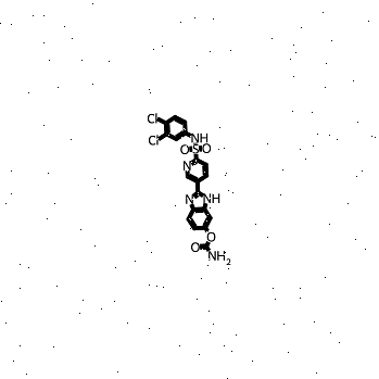 NC(=O)Oc1ccc2nc(-c3ccc(S(=O)(=O)Nc4ccc(Cl)c(Cl)c4)nc3)[nH]c2c1